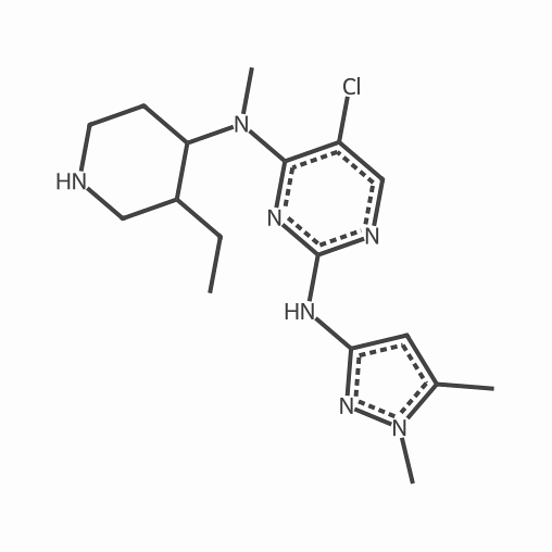 CCC1CNCCC1N(C)c1nc(Nc2cc(C)n(C)n2)ncc1Cl